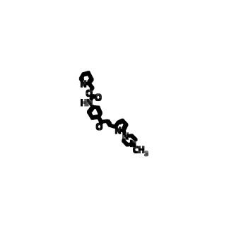 CN1CCN(c2cccc(C=CC(=O)c3ccc(NC(=O)OCc4ccccn4)cc3)n2)CC1